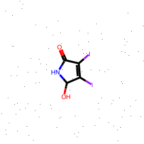 O=C1NC(O)C(I)=C1I